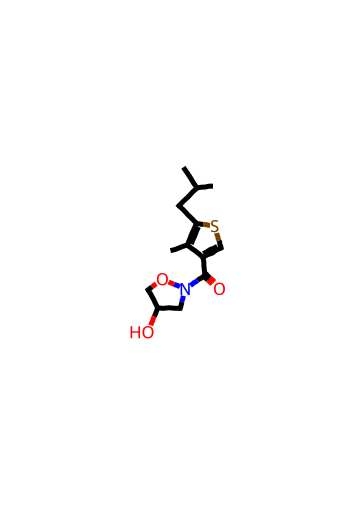 Cc1c(C(=O)N2CC(O)CO2)csc1CC(C)C